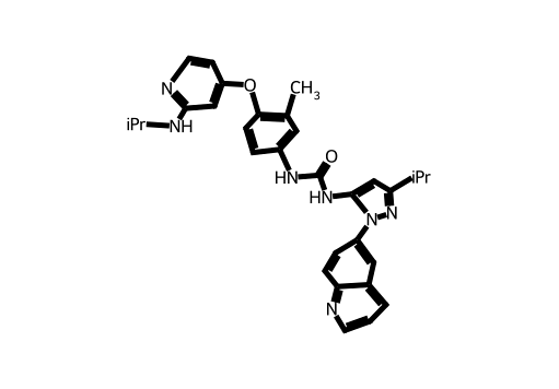 Cc1cc(NC(=O)Nc2cc(C(C)C)nn2-c2ccc3ncccc3c2)ccc1Oc1ccnc(NC(C)C)c1